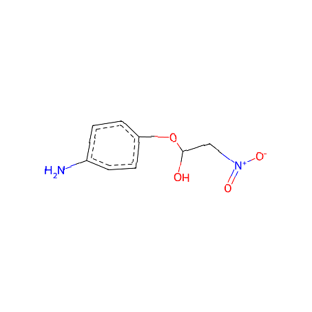 Nc1ccc(OC(O)C[N+](=O)[O-])cc1